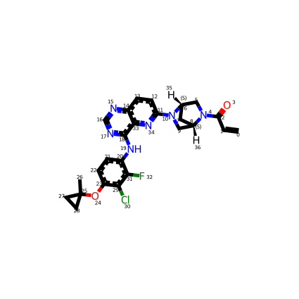 C=CC(=O)N1C[C@@H]2C[C@H]1CN2c1ccc2ncnc(Nc3ccc(OC4(C)CC4)c(Cl)c3F)c2n1